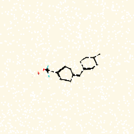 CC1CCC(CC2CCC(C(F)(F)OC(F)(F)F)CC2)CC1